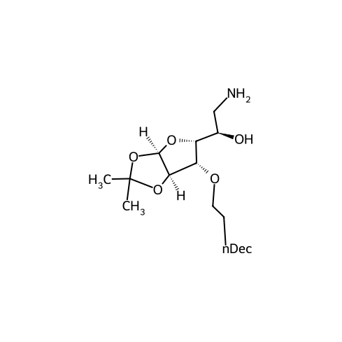 CCCCCCCCCCCCO[C@@H]1[C@H]2OC(C)(C)O[C@H]2O[C@@H]1[C@H](O)CN